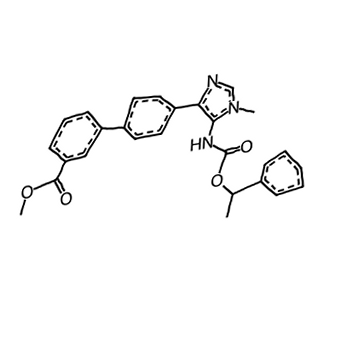 COC(=O)c1cccc(-c2ccc(-c3ncn(C)c3NC(=O)OC(C)c3ccccc3)cc2)c1